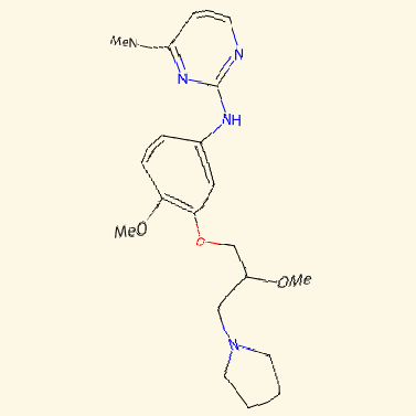 CNc1ccnc(Nc2ccc(OC)c(OCC(CN3CCCC3)OC)c2)n1